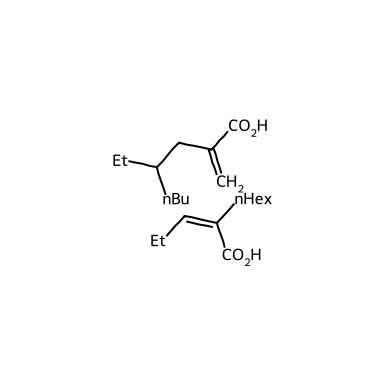 C=C(CC(CC)CCCC)C(=O)O.CCC=C(CCCCCC)C(=O)O